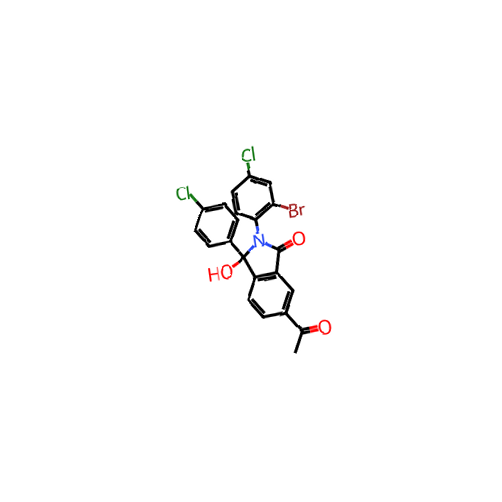 CC(=O)c1ccc2c(c1)C(=O)N(c1ccc(Cl)cc1Br)C2(O)c1ccc(Cl)cc1